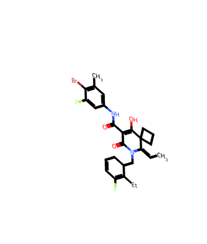 C/C=C1/N(CC2CC=CC(F)=C2CC)C(=O)C(C(=O)Nc2cc(C)c(Br)c(F)c2)=C(O)C12CCC2